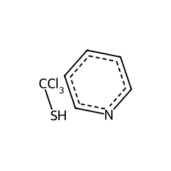 SC(Cl)(Cl)Cl.c1ccncc1